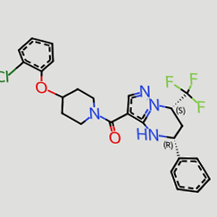 O=C(c1cnn2c1N[C@@H](c1ccccc1)C[C@H]2C(F)(F)F)N1CCC(Oc2ccccc2Cl)CC1